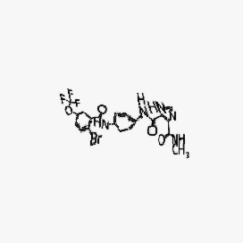 CNC(=O)c1nc[nH]c1C(=O)Nc1ccc(NC(=O)c2cc(OC(F)(F)F)ccc2Br)cc1